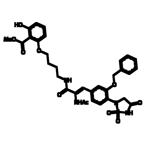 COC(=O)c1c(O)cccc1OCCCCNC(=O)C(=Cc1ccc(N2CC(=O)NS2(=O)=O)c(OCc2ccccc2)c1)NC(C)=O